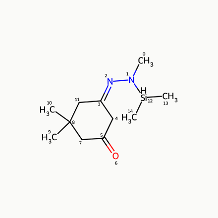 CN(N=C1CC(=O)CC(C)(C)C1)[SiH](C)C